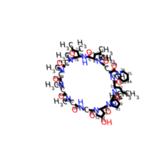 CC[C@H](C)C1NC(=O)C(CC(C)C)N(C)C(=O)CC(C(=O)N2CCCCC2)N(C)C(=O)C(CC(C)C)N(C)C(=O)C2(CCCC2)NC(=O)C2CC(O)CN2C(=O)CNC(=O)CN(C)C(=O)CN(C)C(=O)CN(C)C(=O)CN(C)C1=O